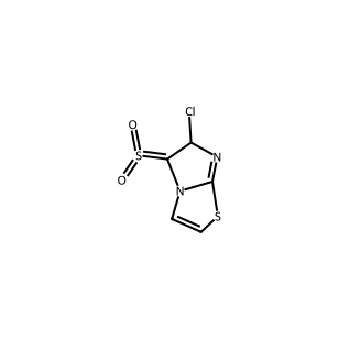 O=S(=O)=C1C(Cl)N=C2SC=CN21